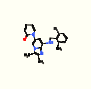 CCc1cccc(C)c1CNc1cc(-n2ccccc2=O)cn2c(C)c(C)nc12